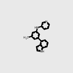 Cc1cc(Nc2cccnc2)cc(-c2cccc3[nH]ccc23)c1